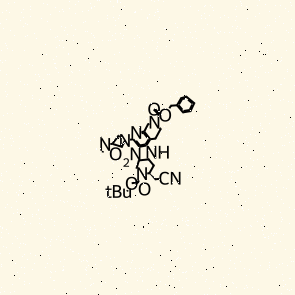 CN(C)C1CN(c2nc3c(c(N[C@H]4CCN(C(=O)OC(C)(C)C)[C@H](CC#N)C4)c2[N+](=O)[O-])CCN(C(=O)OCc2ccccc2)C3)C1